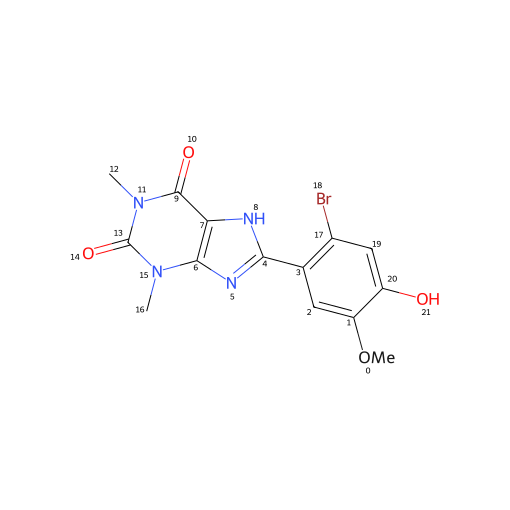 COc1cc(-c2nc3c([nH]2)c(=O)n(C)c(=O)n3C)c(Br)cc1O